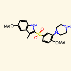 COc1ccc2[nH]c(S(=O)(=O)c3ccc(OC)c(N4CCNCC4)c3)c(C)c2c1